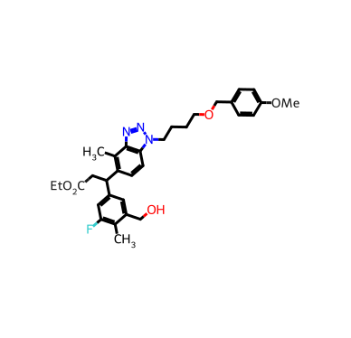 CCOC(=O)CC(c1cc(F)c(C)c(CO)c1)c1ccc2c(nnn2CCCCOCc2ccc(OC)cc2)c1C